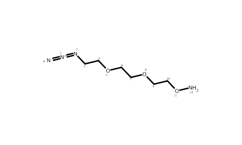 [N-]=[N+]=NCCOCCOCCON